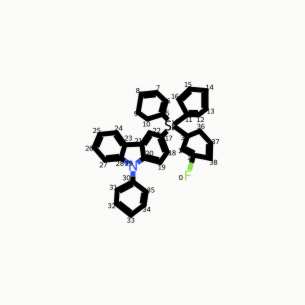 FC1=CC([Si](C2=CC=CCC2)(c2ccccc2)c2ccc3c(c2)c2ccccc2n3-c2ccccc2)CC=C1